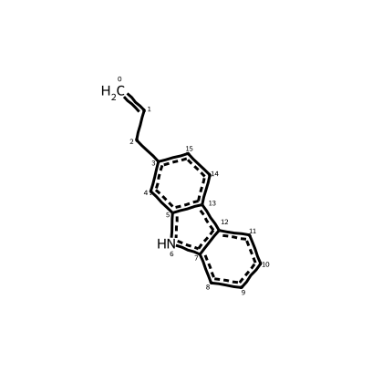 C=CCc1[c]c2[nH]c3ccccc3c2cc1